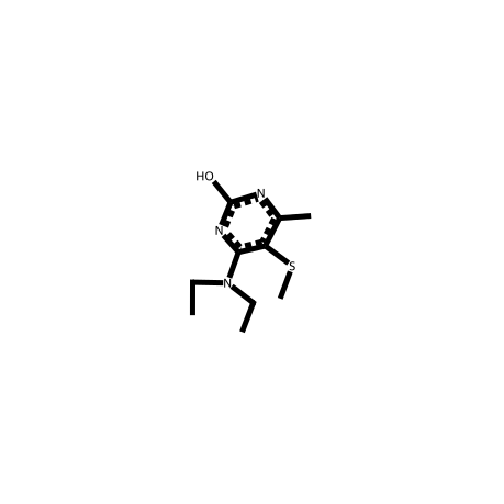 CCN(CC)c1nc(O)nc(C)c1SC